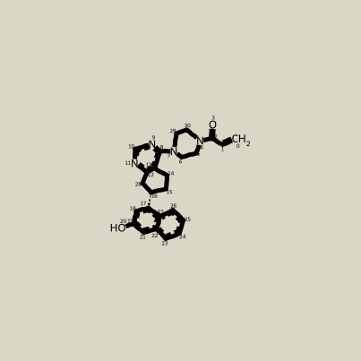 C=CC(=O)N1CCN(c2ncnc3c2CC[C@H](c2cc(O)cc4ccccc24)C3)CC1